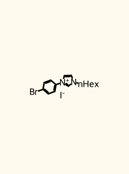 CCCCCCn1cc[n+](-c2ccc(Br)cc2)c1.[I-]